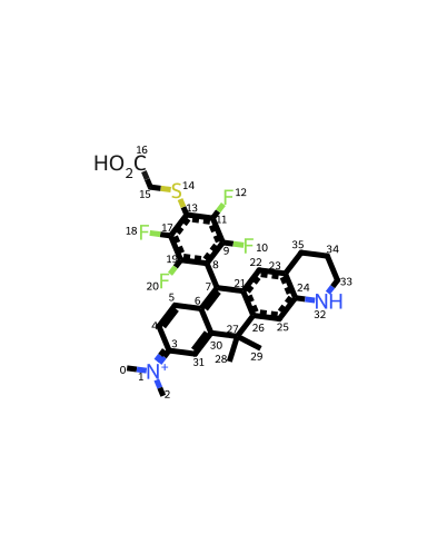 C[N+](C)=C1C=CC2=C(c3c(F)c(F)c(SCC(=O)O)c(F)c3F)c3cc4c(cc3C(C)(C)C2=C1)NCCC4